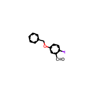 O=Cc1cc(OCc2ccccc2)ccc1I